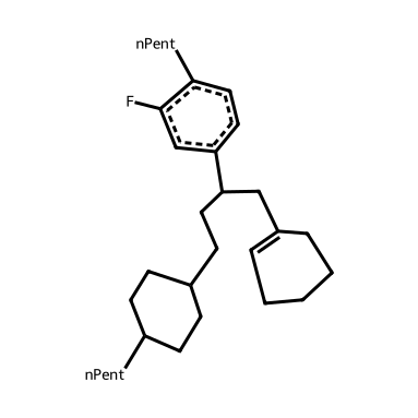 CCCCCc1ccc(C(CCC2CCC(CCCCC)CC2)CC2=CCCCC2)cc1F